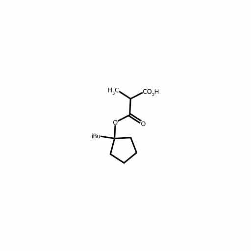 CCC(C)C1(OC(=O)C(C)C(=O)O)CCCC1